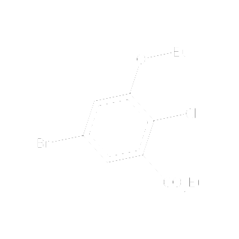 CCOC(=O)c1cc(Br)cc(OCC)c1Cl